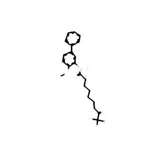 CSc1ccc(-c2ccccc2)cc1NC(=O)CCCCCCC(=O)C(F)(F)F